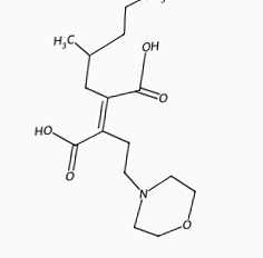 CCCC(C)CC(C(=O)O)=C(CCN1CCOCC1)C(=O)O